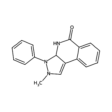 CN1C=C2c3ccccc3C(=O)NC2N1c1ccccc1